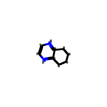 c1cnc2c(n1)CCCC2